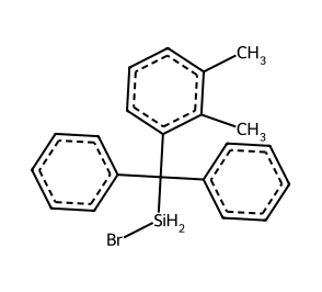 Cc1cccc(C([SiH2]Br)(c2ccccc2)c2ccccc2)c1C